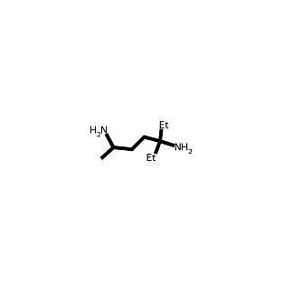 CCC(N)(CC)CCC(C)N